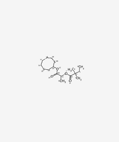 CCC(C)(C)C(=O)OC(C)C(=O)OC1CSCCCCS1